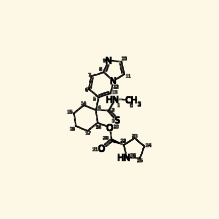 CNC(=S)C1(c2ccc3nccn3c2)CCCCC1OC(=O)[C@H]1CCCN1